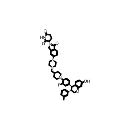 Cc1cccc([C@@H]2COc3cc(O)ccc3[C@@H]2c2ccc(N3CCC(CN4CCN(c5ccc6c(c5)CN([C@H]5CCC(=O)NC5=O)C6=O)CC4)CC3)c(F)c2)c1